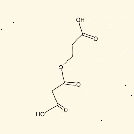 O=C(O)CCOC(=O)CC(=O)O